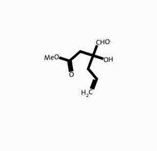 C=CCC(O)([C]=O)CC(=O)OC